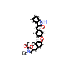 CCN1CC(Cc2ccc(Oc3ccc(C=C4C(=O)Nc5ccccc54)cc3)cc2C(F)(F)F)OC1=O